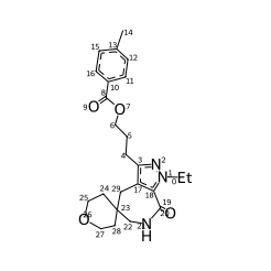 CCn1nc(CCCOC(=O)c2ccc(C)cc2)c2c1C(=O)NCC1(CCOCC1)C2